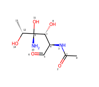 CC(=O)N[C@@H](C=O)[C@@H](O)[C@@](N)(O)[C@@H](C)O